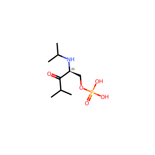 CC(C)N[C@@H](COP(=O)(O)O)C(=O)C(C)C